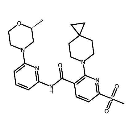 C[C@@H]1CN(c2cccc(NC(=O)c3ccc(S(C)(=O)=O)nc3N3CCC4(CC3)CC4)n2)CCO1